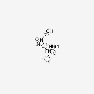 C[C@@H]1C[C@H](C)CN(c2ncc(Cl)c(Nc3cc4c(cc3F)n(C)c(=O)n4CCC(C)(C)O)n2)C1